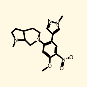 COc1cc(N2CCC3CCN(C)C3C2)c(-c2cnn(C)c2)cc1[N+](=O)[O-]